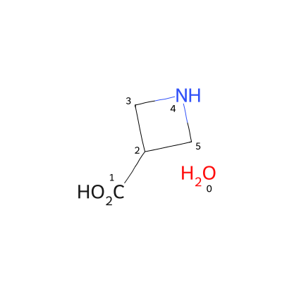 O.O=C(O)C1CNC1